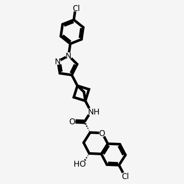 O=C(NC12CC(c3cnn(-c4ccc(Cl)cc4)c3)(C1)C2)[C@H]1C[C@@H](O)c2cc(Cl)ccc2O1